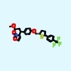 COC(=O)C[C@@H](c1ccc(OCC2CC=C(c3ccc(C(F)(F)F)cc3)S2)cc1)c1ccon1